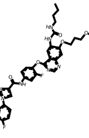 CCCCNC(=O)Nc1cc2c(Oc3ccc(NC(=O)c4cn(-c5ccc(F)cc5)cn4)cc3F)ncnc2cc1OCCCOC